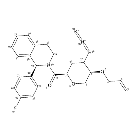 C=CCO[C@H]1CO[C@@H](C(=O)N2CCc3ccccc3[C@@H]2c2ccc(F)cc2)CC1N=[N+]=[N-]